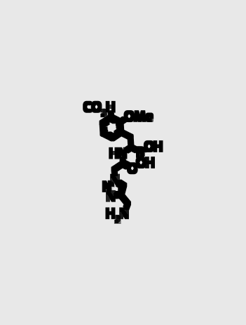 COc1c(CC(NC(=O)Cn2cc(CN)nn2)B(O)O)cccc1C(=O)O